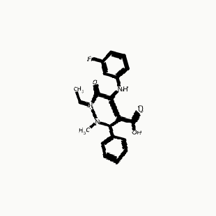 CCN1C(=O)C(Nc2cccc(F)c2)=C(C(=O)O)C(c2ccccc2)N1C